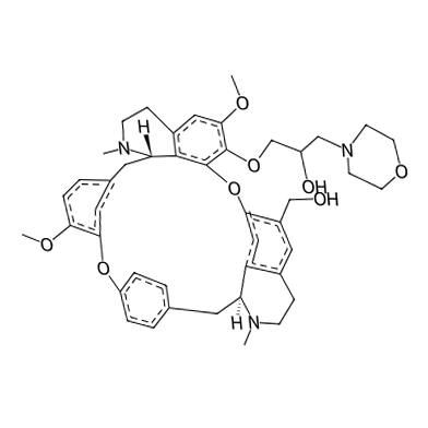 COc1ccc2cc1Oc1ccc(cc1)C[C@H]1c3cc(c(CO)cc3CCN1C)Oc1c(OCC(O)CN3CCOCC3)c(OC)cc3c1[C@H](C2)N(C)CC3